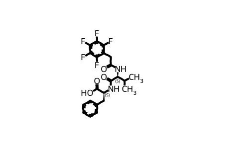 CC(C)[C@H](NC(=O)Cc1c(F)c(F)c(F)c(F)c1F)C(=O)N[C@@H](Cc1ccccc1)C(=O)O